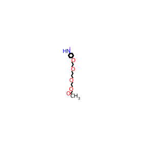 CC(=O)COCCCOCCCCOCCCOc1ccc(NI)cc1